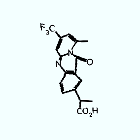 Cc1cc(C(F)(F)F)cc2nc3ccc(C(C)C(=O)O)cc3c(=O)n12